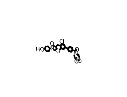 O=C(c1ccc(-c2cc(Cl)c(CC3CCN(C4CCC(O)CC4)C3=O)c(Cl)c2)cc1)N1CCS(=O)(=O)CC1